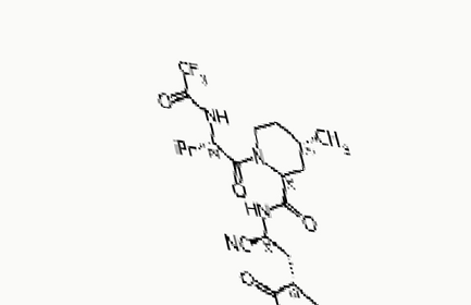 CC(C)[C@H](NC(=O)C(F)(F)F)C(=O)N1CC[C@H](C)C[C@H]1C(=O)N[C@H](C#N)C[C@@H]1CCNC1=O